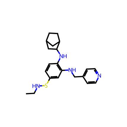 CCNSc1ccc(NC2CC3CCC2C3)c(NCc2ccncc2)c1